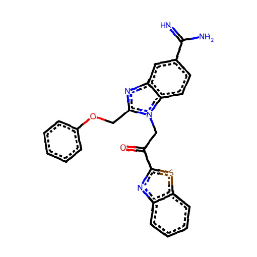 N=C(N)c1ccc2c(c1)nc(COc1ccccc1)n2CC(=O)c1nc2ccccc2s1